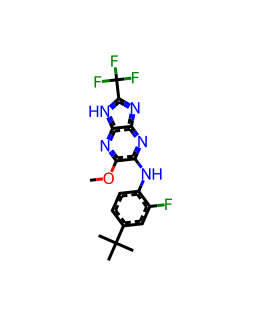 COc1nc2[nH]c(C(F)(F)F)nc2nc1Nc1ccc(C(C)(C)C)cc1F